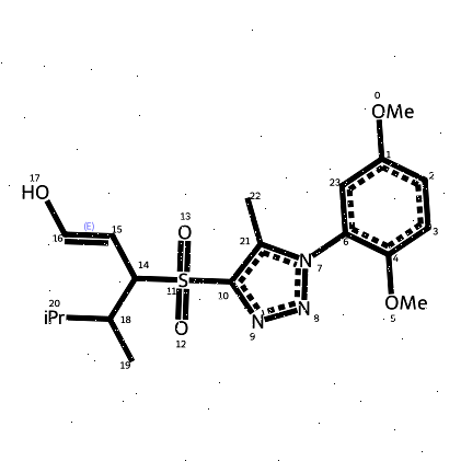 COc1ccc(OC)c(-n2nnc(S(=O)(=O)C(/C=C/O)C(C)C(C)C)c2C)c1